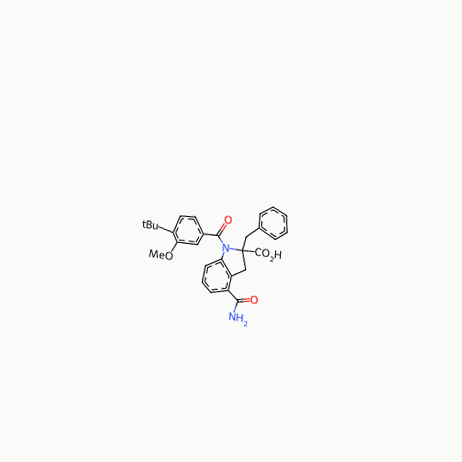 COc1cc(C(=O)N2c3cccc(C(N)=O)c3CC2(Cc2ccccc2)C(=O)O)ccc1C(C)(C)C